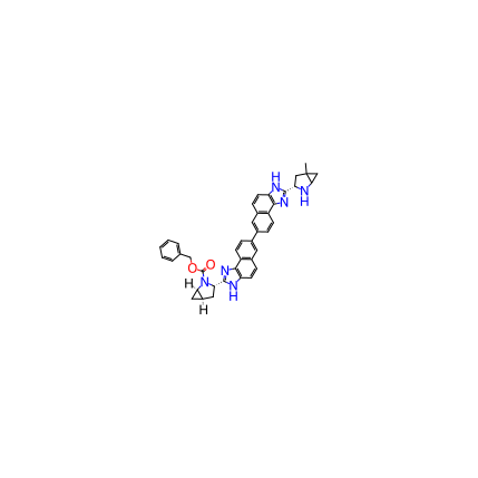 CC12CC1N[C@H](c1nc3c(ccc4cc(-c5ccc6c(ccc7[nH]c([C@@H]8C[C@H]9C[C@H]9N8C(=O)OCc8ccccc8)nc76)c5)ccc43)[nH]1)C2